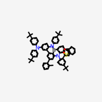 Cc1ccccc1-c1cc2c3c(c1)N(c1ccc(C(C)(C)C)cc1-c1ccccc1)c1c(ccc4c1sc1ccccc14)B3N(c1ccc(C(C)(C)C)cc1)c1ccc(N(c3ccc(C(C)(C)C)cc3)c3ccc(C(C)(C)C)cc3)cc1-2